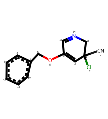 N#CC1(Cl)C=C(OCc2ccccc2)C=NC1